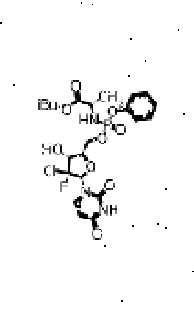 CC[C@@H](C)OC(=O)[C@H](C)NP(=O)(OC[C@H]1O[C@H](n2ccc(=O)[nH]c2=O)[C@@](F)(Cl)[C@@H]1O)Oc1ccccc1